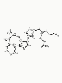 CCCN(CCC)Cc1coc(-c2ncn3c2CN(C)C(=O)c2ccccc2-3)n1